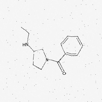 CCNC1CCN(C(=O)c2ccccc2)C1